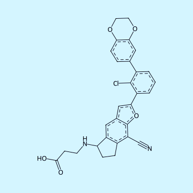 N#Cc1c2c(cc3cc(-c4cccc(-c5ccc6c(c5)OCCO6)c4Cl)oc13)C(NCCC(=O)O)CC2